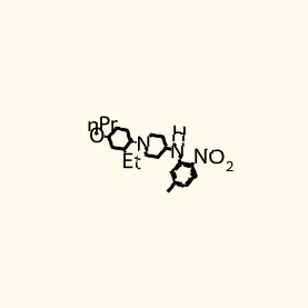 CCCO[C@H]1CC[C@H](N2CCC(Nc3cc(C)ccc3[N+](=O)[O-])CC2)[C@@H](CC)C1